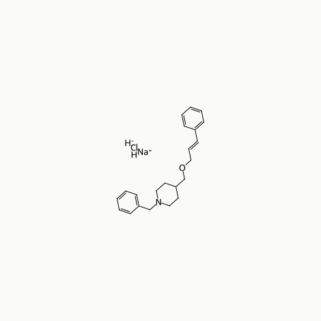 C(=C\c1ccccc1)/COCC1CCN(Cc2ccccc2)CC1.Cl.[H-].[Na+]